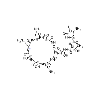 C[C@@H](O)[C@H](NC(=O)[C@H](CCN)NC(=O)OI)C(=O)NC(O)C(=O)N[C@H]1CCNC(=O)[C@H](O)NC(=O)[C@H](CCN)NC(=O)/C(CCN)=N\C(=O)[C@H](O)NC(=O)[C@@H](O)NC(=O)[C@H](CCN)NC1=O